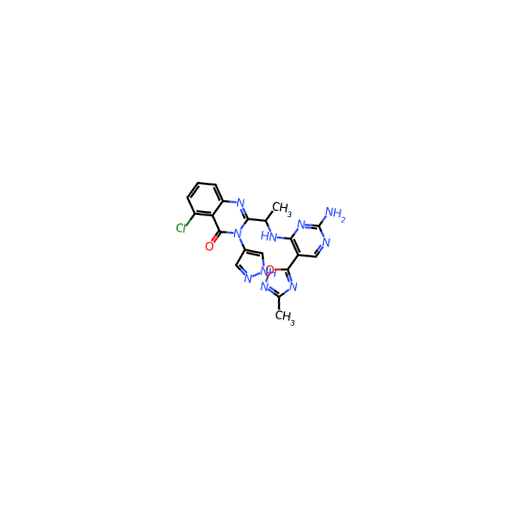 Cc1noc(-c2cnc(N)nc2NC(C)c2nc3cccc(Cl)c3c(=O)n2-c2cn[nH]c2)n1